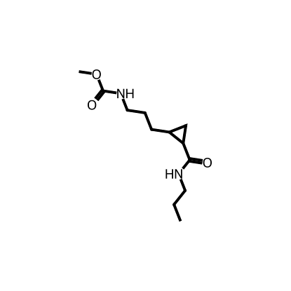 CCCNC(=O)C1CC1CCCNC(=O)OC